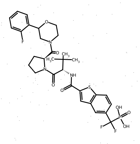 CC(C)(C)[C@H](NC(=O)c1cc2cc(C(F)(F)P(=O)(O)O)ccc2s1)C(=O)N1CCC[C@H]1C(=O)N1CCOC(c2ccccc2F)C1